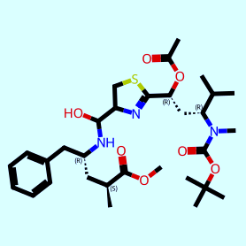 COC(=O)[C@@H](C)C[C@H](Cc1ccccc1)NC(O)C1CSC([C@@H](C[C@H](C(C)C)N(C)C(=O)OC(C)(C)C)OC(C)=O)=N1